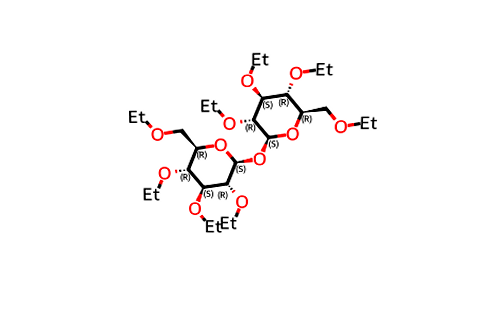 CCOC[C@H]1O[C@@H](O[C@@H]2O[C@H](COCC)[C@@H](OCC)[C@H](OCC)[C@H]2OCC)[C@H](OCC)[C@@H](OCC)[C@@H]1OCC